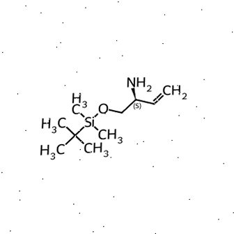 C=C[C@H](N)CO[Si](C)(C)C(C)(C)C